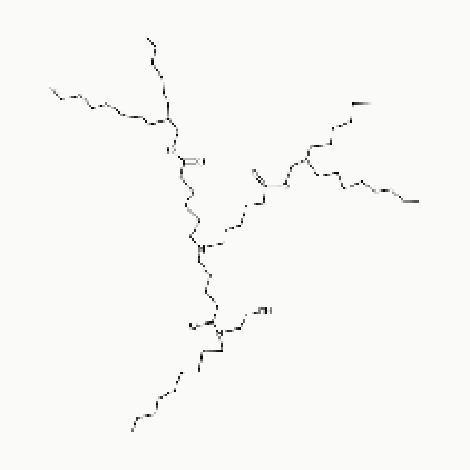 CCCCCCCCCN(CCO)C(=O)CCCCN(CCCCCC(=O)OCC(CCCCCC)CCCCCCCC)CCCCCC(=O)OCC(CCCCCC)CCCCCCCC